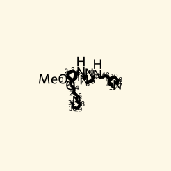 COc1ccc(Nc2nccc(NCCc3ccncc3)n2)cc1OCCCN1CCCC1